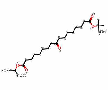 CCCCCCCCC(CCCCCCCC)OC(=O)CCCCCCCC(=O)CCCCCCCC(=O)OC(C)(C)CCCCCCCC